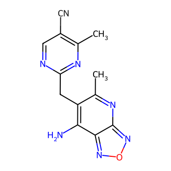 Cc1nc(Cc2c(C)nc3nonc3c2N)ncc1C#N